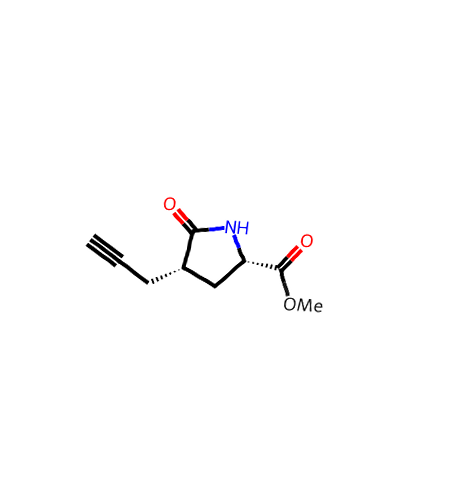 C#CC[C@H]1C[C@@H](C(=O)OC)NC1=O